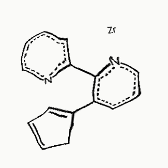 C1=CCC(c2cccnc2-c2ccccn2)=C1.[Zr]